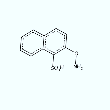 NOc1ccc2ccccc2c1S(=O)(=O)O